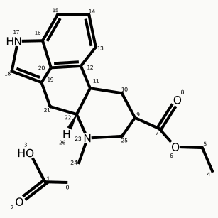 CC(=O)O.CCOC(=O)C1CC2c3cccc4[nH]cc(c34)C[C@H]2N(C)C1